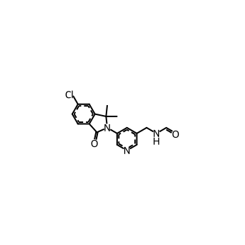 CC1(C)c2cc(Cl)ccc2C(=O)N1c1cncc(CNC=O)c1